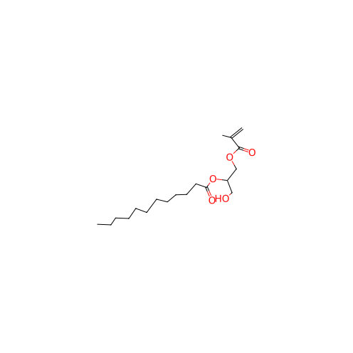 C=C(C)C(=O)OCC(CO)OC(=O)CCCCCCCCCCC